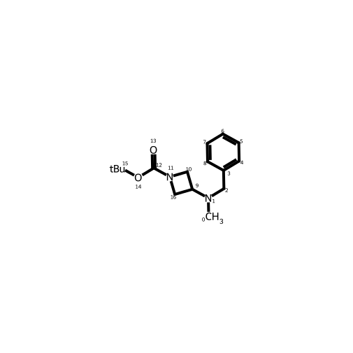 CN(Cc1ccccc1)C1CN(C(=O)OC(C)(C)C)C1